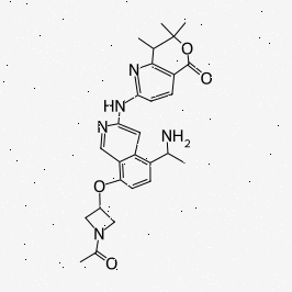 CC(=O)N1CC(Oc2ccc(C(C)N)c3cc(Nc4ccc5c(n4)C(C)C(C)(C)OC5=O)ncc23)C1